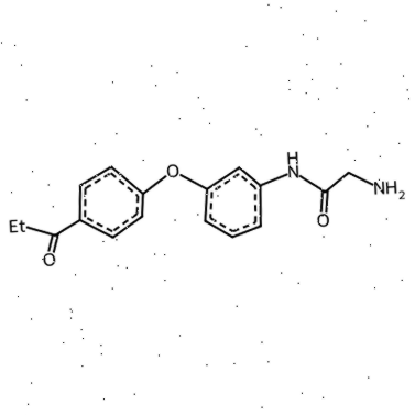 CCC(=O)c1ccc(Oc2cccc(NC(=O)CN)c2)cc1